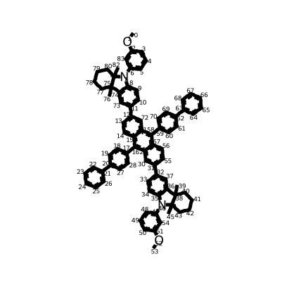 COc1cccc(N2c3ccc(-c4ccc5c(-c6ccc(-c7ccccc7)cc6)c6cc(-c7ccc8c(c7)C7(C)CCCCC7(C)N8c7cccc(OC)c7)ccc6c(-c6ccc(-c7ccccc7)cc6)c5c4)cc3C3(C)CCCCC23C)c1